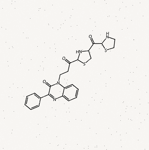 O=C(CCn1c(=O)c(-c2ccccc2)nc2ccccc21)C1NC(C(=O)C2NCCS2)CS1